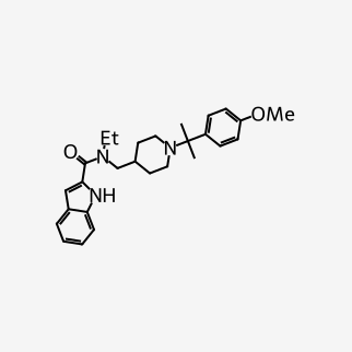 CCN(CC1CCN(C(C)(C)c2ccc(OC)cc2)CC1)C(=O)c1cc2ccccc2[nH]1